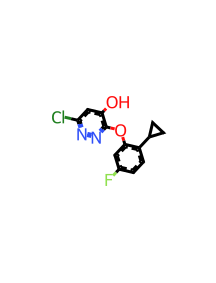 Oc1cc(Cl)nnc1Oc1cc(F)ccc1C1CC1